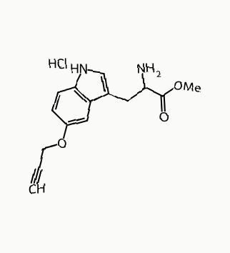 C#CCOc1ccc2[nH]cc(CC(N)C(=O)OC)c2c1.Cl